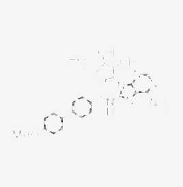 COc1ccc(-c2ccc(CNc3nc4c(N)ncnc4n3[C@@H]3O[C@H](CO)[C@@H](O)[C@H]3O)cc2)cc1